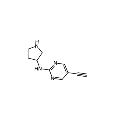 C#Cc1cnc(NC2CCNC2)nc1